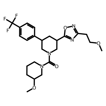 COCCc1noc(C2CC(c3ccc(C(F)(F)F)cc3)CN(C(=O)N3CCCC(OC)C3)C2)n1